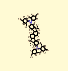 Cc1ccc(N(c2ccc3c(c2)[Si](C)(C)c2ccc4c5c(ccc4c2-3)[Si](C)(C)c2cc(N(c3ccc(C)cc3C)c3ccc(C)cc3C)ccc2-5)c2ccc(C)cc2C)c(C)c1